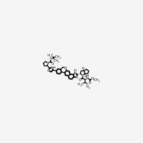 COC(=O)N[C@H](C(=O)N1[C@H](c2nc3ccc4cc5c(cc4c3[nH]2)OCc2cc(-c3cnc(C4CCCN4C(=O)OC(C)(C)C)[nH]3)ccc2-5)C[C@@H]2CCC[C@@H]21)C(C)C